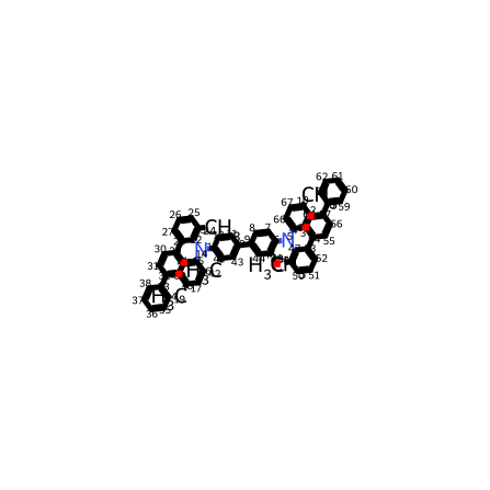 Cc1ccc(N(c2ccc(-c3ccc(N(c4ccc(C)cc4)c4c(C)cccc4-c4ccc(-c5ccccc5)cc4)c(C)c3)cc2C)c2c(C)cccc2-c2ccc(-c3ccccc3)cc2)cc1